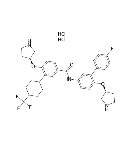 Cl.Cl.O=C(Nc1ccc(O[C@H]2CCNC2)c(-c2ccc(F)cc2)c1)c1ccc(O[C@H]2CCNC2)c(C2CCC(C(F)(F)F)CC2)c1